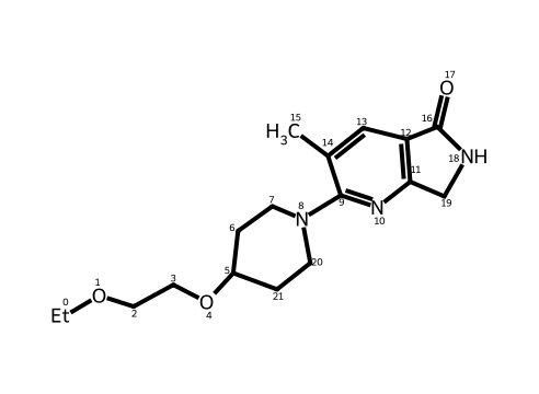 CCOCCOC1CCN(c2nc3c(cc2C)C(=O)NC3)CC1